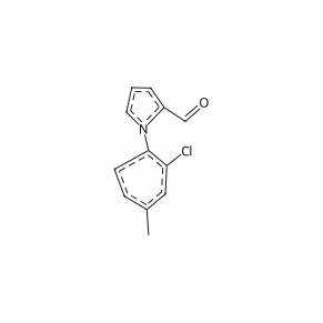 Cc1ccc(-n2cccc2C=O)c(Cl)c1